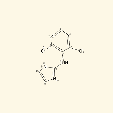 Clc1cccc(Cl)c1Nc1ncc[nH]1